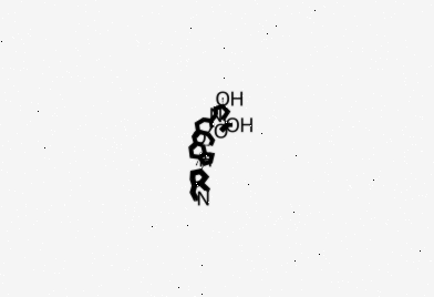 C[C@]12CC=C3C=C4CCC(N5C[C@H](O)C[C@H]5C(=O)O)C[C@]45CC[C@]3(O5)[C@@H]1CC[C@@H]2c1ccc2ccncc2c1